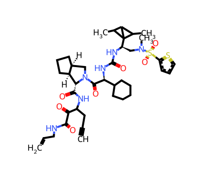 C#CCC(NC(=O)[C@@H]1[C@H]2CCC[C@H]2CN1C(=O)[C@@H](NC(=O)N[C@H](CN(C)S(=O)(=O)c1cccs1)C12C(C)C1C2C)C1CCCCC1)C(=O)C(=O)NCC=C